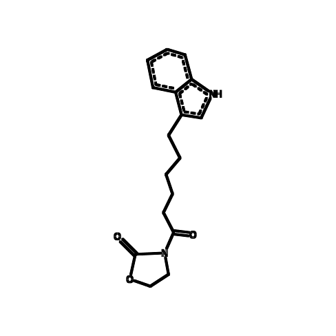 O=C(CCCCCc1c[nH]c2ccccc12)N1CCOC1=O